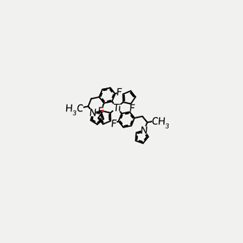 CC(Cc1ccc(F)[c]([Ti]([C]2=CC=CC2)([C]2=CC=CC2)[c]2c(F)ccc(CC(C)n3cccc3)c2F)c1F)n1cccc1